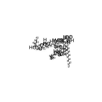 C/C=C/C=C/C=C/C=C/C=C/[C@@H](C[C@@H]1O[C@@](C[C@@H](O)C[C@@H](O)[C@H](O)CC[C@@H](O)C[C@@H](O)CC(=O)O[C@@H](C)[C@H](C)[C@H](O)[C@@H](C)/C=C/C)(OC)C[C@@H]2OC(=O)N[C@H]21)O[C@@H]1O[C@H](C)[C@@H](O)[C@H](NC(=O)OCC[Si](C)(C)C)[C@@H]1O